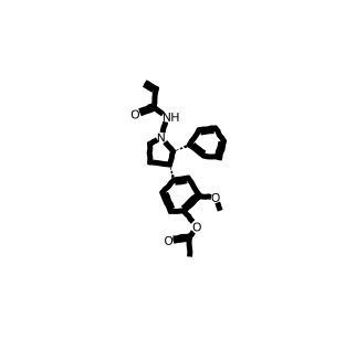 C=CC(=O)NN1CC[C@@H](c2ccc(OC(C)=O)c(OC)c2)[C@H]1c1ccccc1